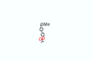 C=C(C)C(=O)Oc1ccc(-c2ccc(COC)cc2)cc1